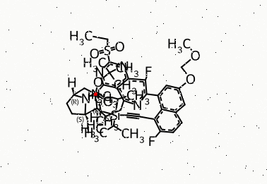 CCS(=O)(=O)c1nc2c3c(nc(-c4cc(OCOC)cc5ccc(F)c(C#C[Si](C(C)C)(C(C)C)C(C)C)c45)c(F)c3n1)C[C@H](C)[C@H]1[C@@H]3CC[C@H](CN21)N3C(=O)OC(C)(C)C